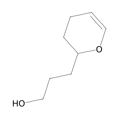 OCCCC1CCC=CO1